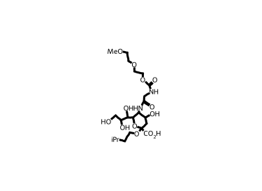 COCCOCCOC(=O)NCC(=O)NC1C(O)CC(OCCC(C)C)(C(=O)O)OC1C(O)C(O)CO